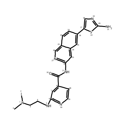 CN(I)CCNc1cc(C(=O)Nc2cc3cc(-c4cnc(N)s4)ccc3cn2)ccn1